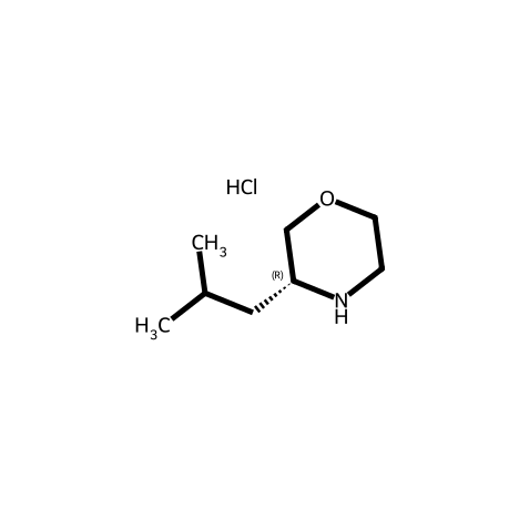 CC(C)C[C@@H]1COCCN1.Cl